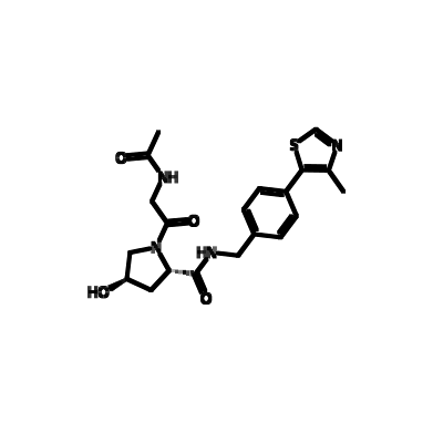 CC(=O)NCC(=O)N1C[C@H](O)C[C@H]1C(=O)NCc1ccc(-c2scnc2C)cc1